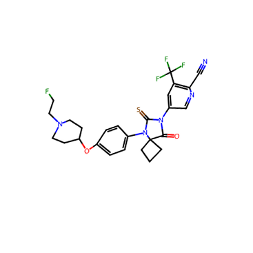 N#Cc1ncc(N2C(=O)C3(CCC3)N(c3ccc(OC4CCN(CCF)CC4)cc3)C2=S)cc1C(F)(F)F